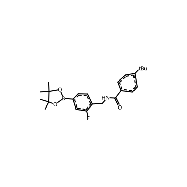 CC(C)(C)c1ccc(C(=O)NCc2ccc(B3OC(C)(C)C(C)(C)O3)cc2F)cc1